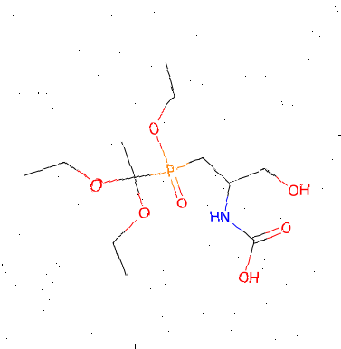 CCOC(C)(OCC)P(=O)(CC(CO)NC(=O)O)OCC